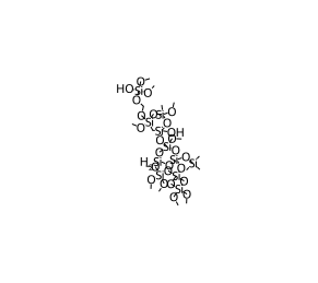 CO[Si]1(C)O[Si](O)(O[Si]2(OC)O[SiH2]O[Si](O[Si](C)(C)C)(O[Si]3(O[Si](OC)(OC)OC)O[Si](OC)(OC)O3)O2)C[Si](OC)(OCO[Si](O)(OC)OC)O1